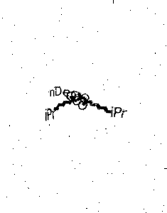 CCCCCCCCCCCC(OC(=O)CCCCCCC(C)C)OC(=O)CCCCCCC(C)C